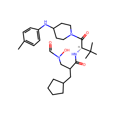 Cc1ccc(NC2CCN(C(=O)[C@@H](NC(=O)C(CC3CCCC3)CN(O)C=O)C(C)(C)C)CC2)cc1